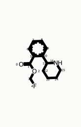 O=C(OCF)c1ccccc1C1CCCCN1